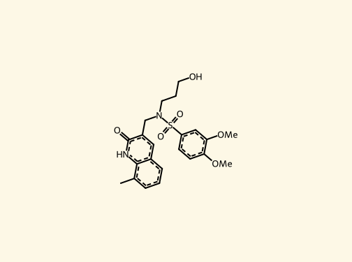 COc1ccc(S(=O)(=O)N(CCCO)Cc2cc3cccc(C)c3[nH]c2=O)cc1OC